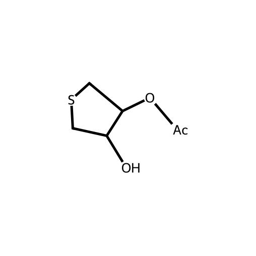 CC(=O)OC1CSCC1O